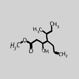 C=CCC(C(C)CC)C(O)CC(=O)OC